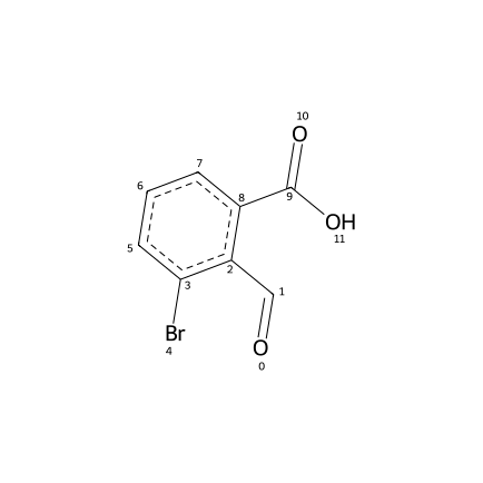 O=Cc1c(Br)cccc1C(=O)O